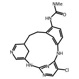 CNC(=O)Nc1ccc2cc1CCC1C=NC=C(C1)Nc1ncc(Cl)c(n1)N2